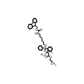 C=CCOC(=O)CC(C)(C)O[Si](OCCCCCCNC(=O)OCC1c2ccccc2-c2ccccc21)(c1ccccc1)c1ccccc1